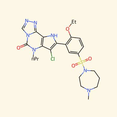 CCCn1c(=O)n2cnnc2c2[nH]c(-c3cc(S(=O)(=O)N4CCCN(C)CC4)ccc3OCC)c(Cl)c21